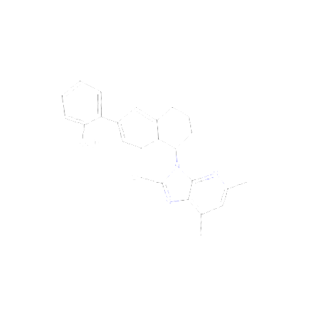 CCc1nc2c(C)cc(C)nc2n1C1CCCC2=CC(c3ccccc3C(=O)O)=CCC21